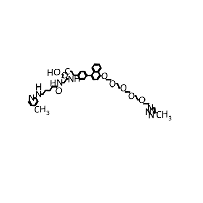 Cc1ccnc(NCCCCC(=O)NCC(=O)NC(CC(=O)O)c2ccc(-c3ccc(OCCOCCOCCOCCOCCn4cc(C)nn4)c4ccccc34)cc2)c1